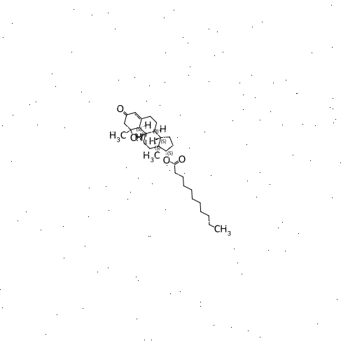 CCCCCCCCCCC(=O)O[C@H]1CC[C@H]2[C@@H]3CCC4=CC(=O)CC(C)(C)[C@@H]4[C@H]3CC[C@]12C